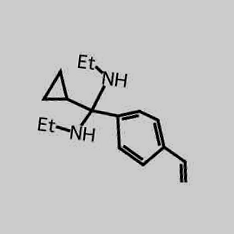 C=Cc1ccc(C(NCC)(NCC)C2CC2)cc1